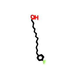 OCCCCCCCCCCCCCc1ccc(F)cc1